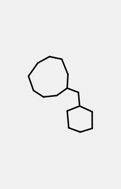 C1CCCCC(CC2CCCCC2)CCC1